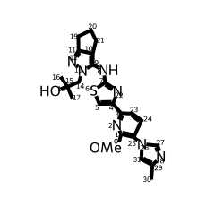 COc1nc(-c2csc(Nc3c4c(nn3CC(C)(C)O)CCC4)n2)ccc1-n1cnc(C)c1